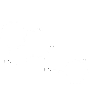 O=C(Nc1cccnc1)c1c[nH]c2c1C(=O)CCC2